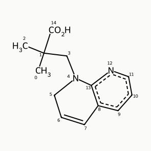 CC(C)(CN1CC=Cc2cccnc21)C(=O)O